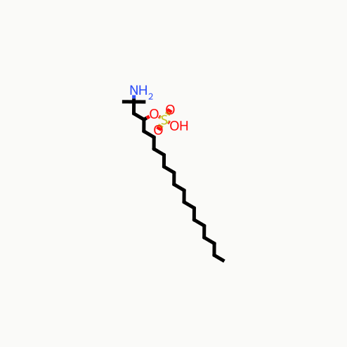 CCCCCCCCCCCCCCCCC(CC(C)(C)N)OS(=O)(=O)O